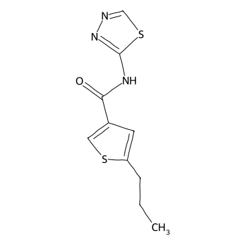 CCCc1cc(C(=O)Nc2nncs2)cs1